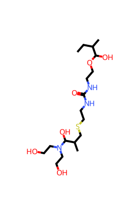 CCC(C)C(O)OCCNC(=O)NCCSCC(C)C(O)N(CCO)CCO